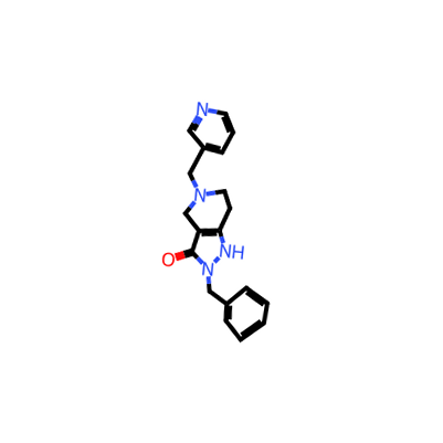 O=c1c2c([nH]n1Cc1ccccc1)CCN(Cc1cccnc1)C2